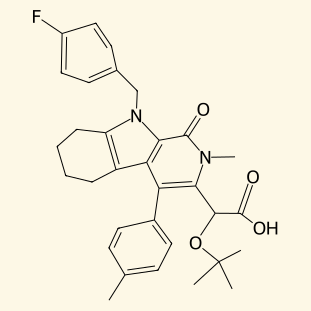 Cc1ccc(-c2c(C(OC(C)(C)C)C(=O)O)n(C)c(=O)c3c2c2c(n3Cc3ccc(F)cc3)CCCC2)cc1